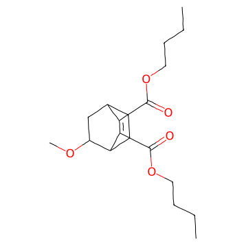 CCCCOC(=O)C1=C(C(=O)OCCCC)C2CCC1CC2OC